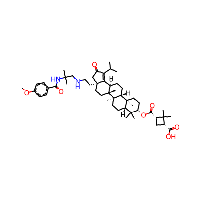 COc1ccc(C(=O)NC(C)(C)CNCC[C@@]23CC[C@]4(C)[C@H](CC[C@@H]5[C@@]6(C)CC[C@H](OC(=O)[C@H]7C[C@@H](C(=O)O)C7(C)C)C(C)(C)[C@@H]6CC[C@]54C)C2=C(C(C)C)C(=O)C3)cc1